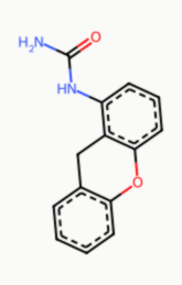 NC(=O)Nc1cccc2c1Cc1ccccc1O2